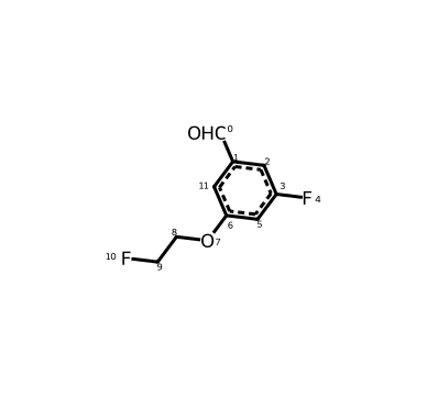 O=Cc1cc(F)cc(OCCF)c1